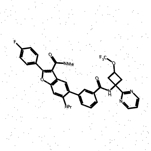 CCCc1cc2oc(-c3ccc(F)cc3)c(C(=O)NC)c2cc1-c1cccc(C(=O)NC2(c3ncccn3)CC(OC(F)(F)F)C2)c1